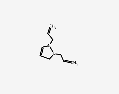 C=CCN1[C]=CCN1CC=C